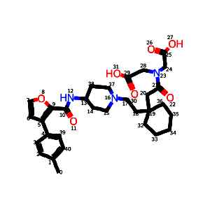 Cc1ccc(-c2ccoc2C(=O)NC2CCN(CCC3(CC(=O)N(CC(=O)O)CC(=O)O)CCCCC3)CC2)cc1